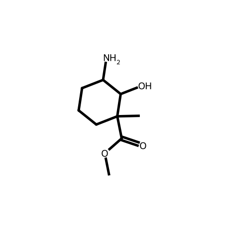 COC(=O)C1(C)CCCC(N)C1O